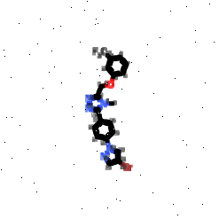 Cn1c(COc2cccc(C(F)(F)F)c2)nnc1-c1ccc(-n2cc(Br)cn2)cc1